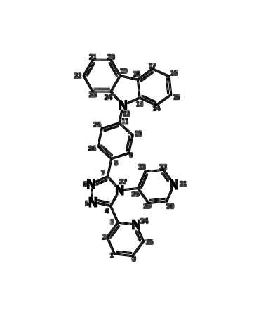 c1ccc(-c2nnc(-c3ccc(-n4c5ccccc5c5ccccc54)cc3)n2-c2ccncc2)nc1